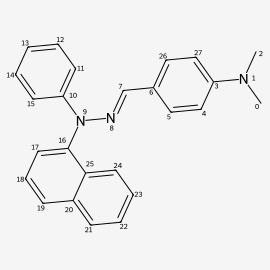 CN(C)c1ccc(C=NN(c2ccccc2)c2cccc3ccccc23)cc1